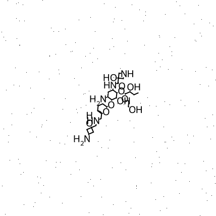 CC[C@@H](O)[C@H](OCCO)O[C@@H]1[C@@H](O)[C@H](O[C@@H]2CCC=C(CNCC3(O)CC(N)C3)O2)[C@@H](N)C[C@H]1NC(=O)C1(O)CNC1